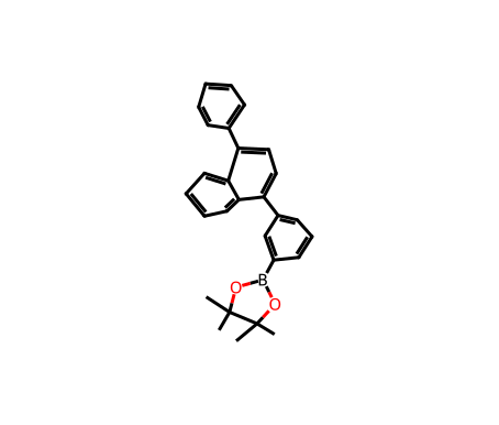 CC1(C)OB(c2cccc(-c3ccc(-c4ccccc4)c4ccccc34)c2)OC1(C)C